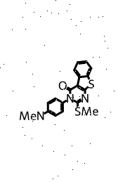 CNc1ccc(-n2c(SC)nc3sc4ccccc4c3c2=O)cc1